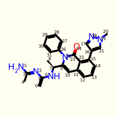 C=C(/N=C(\C)N)N[C@@H](C)c1cc2cccc(-c3cnn(C)c3)c2c(=O)n1-c1ccccc1